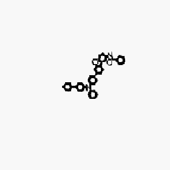 c1ccc(-c2ccc(N(c3ccccc3)c3ccc(-c4ccc5c(c4)oc4ccc6nc(-c7ccccc7)oc6c45)cc3)cc2)cc1